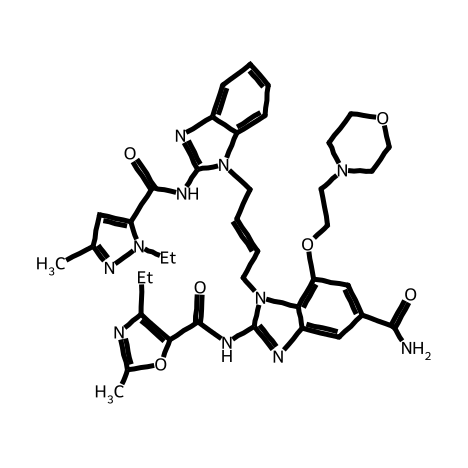 CCc1nc(C)oc1C(=O)Nc1nc2cc(C(N)=O)cc(OCCN3CCOCC3)c2n1C/C=C/Cn1c(NC(=O)c2cc(C)nn2CC)nc2ccccc21